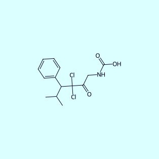 CC(C)C(c1ccccc1)C(Cl)(Cl)C(=O)CNC(=O)O